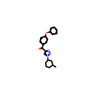 CC1CCCC(n2cc(C(=O)c3ccc(Oc4ccccc4)cc3)nn2)C1